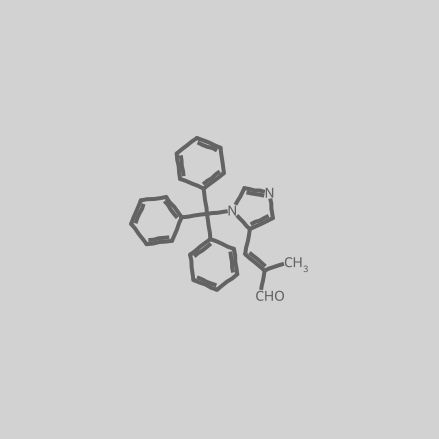 CC(C=O)=Cc1cncn1C(c1ccccc1)(c1ccccc1)c1ccccc1